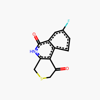 O=C1CSCc2[nH]c(=O)c3cc(F)ccc3c21